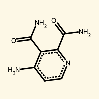 NC(=O)c1nccc(N)c1C(N)=O